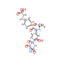 CCN(c1ccc(N2CC(=O)NS2(=O)=O)c(O)c1)S(=O)(=O)c1ccc(CCC(=O)O)cc1